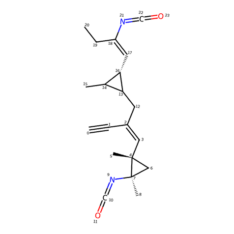 C#C/C(=C\[C@]1(C)C[C@@]1(C)N=C=O)CC1C(C)[C@@H]1/C=C(\CC)N=C=O